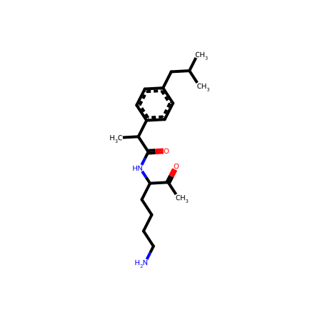 CC(=O)C(CCCCN)NC(=O)C(C)c1ccc(CC(C)C)cc1